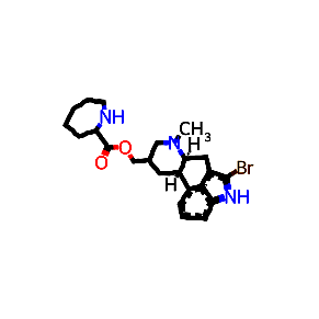 CN1CC(COC(=O)C2CCCCCN2)C[C@H]2c3cccc4[nH]c(Br)c(c34)C[C@@H]21